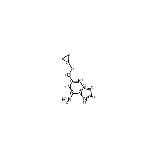 Nc1nc(OCC2CC2)nc2ccnn12